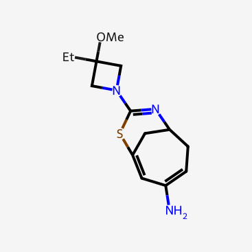 CCC1(OC)CN(C2=NC3CC=C(N)C=C(C3)S2)C1